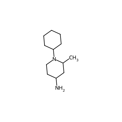 CC1CC(N)CCN1C1CCCCC1